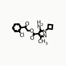 Cc1nn(C2CCC2)c(N)c1C(=O)OCC(=O)c1ccccc1Cl